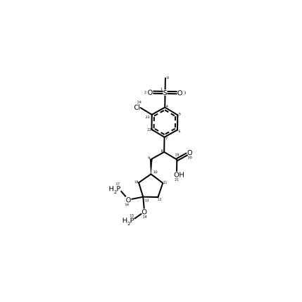 CS(=O)(=O)c1ccc(C(C[C@H]2CCC(OP)(OP)C2)C(=O)O)cc1Cl